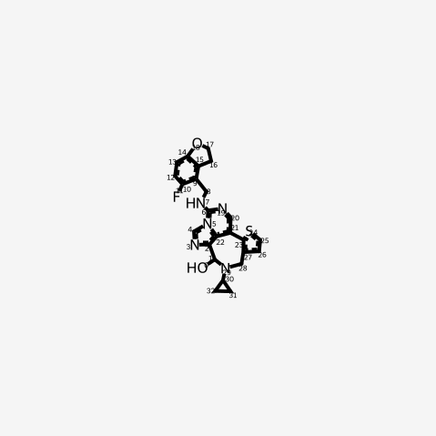 OC1c2ncn3c(NCc4c(F)ccc5c4CCO5)ncc(c23)-c2sccc2CN1C1CC1